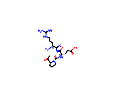 CC(=O)C1CCCN1C(=O)N[C@@H](CCC(=O)O)c1nc([C@@H](N)CCCNC(=N)N)no1